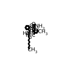 CCCCCCCCONC(=O)c1ccccc1S(=O)(=O)N(C(N)=O)c1nc(C)cc(C)n1